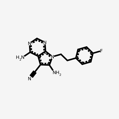 N#Cc1c(N)n(CCc2ccc(F)cc2)c2ncnc(N)c12